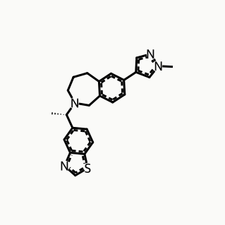 C[C@@H](c1ccc2scnc2c1)N1CCCc2cc(-c3cnn(C)c3)ccc2C1